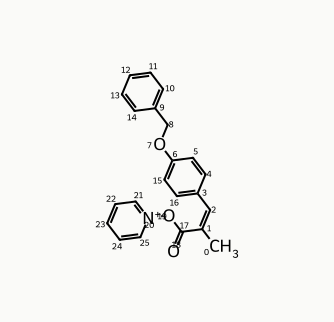 CC(=Cc1ccc(OCc2ccccc2)cc1)C(=O)O[n+]1ccccc1